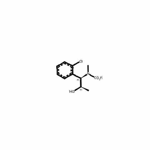 C[C@@H](O)[C@@H](c1ccccc1Cl)N(C)C(=O)O